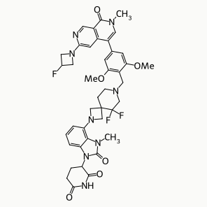 COc1cc(-c2cn(C)c(=O)c3cnc(N4CC(F)C4)cc23)cc(OC)c1CN1CCC2(CN(c3cccc4c3n(C)c(=O)n4C3CCC(=O)NC3=O)C2)C(F)(F)C1